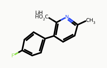 Cc1ccc(-c2ccc(F)cc2)c(C(=O)O)n1.[LiH]